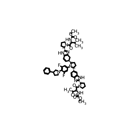 COC(=O)N[C@H](C(=O)N1CCC[C@H]1c1nc2c([nH]1)C=CC([C@H]1CC[C@H](c3ccc4nc([C@@H]5CCCN5C(=O)[C@@H](NC(=O)OC)C(C)C)[nH]c4c3)N1c1cc(F)c(N3CCC(c4ccccc4)C3)c(F)c1)C2)C(C)C